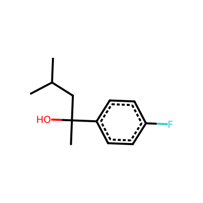 CC(C)CC(C)(O)c1ccc(F)cc1